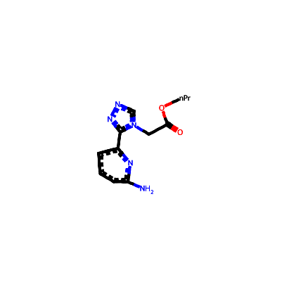 CCCOC(=O)Cn1cnnc1-c1cccc(N)n1